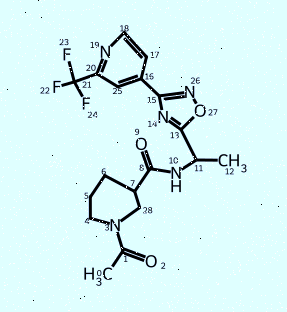 CC(=O)N1CCCC(C(=O)NC(C)c2nc(-c3ccnc(C(F)(F)F)c3)no2)C1